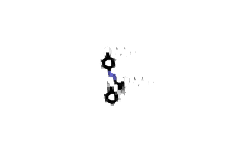 COc1ccc(/C=C/c2nc3ccccc3nc2OC)cc1